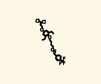 CCc1cc(OCC=C(Cl)Cl)cc(CC)c1OCCCCON=Cc1ccc(C(F)(F)F)cc1